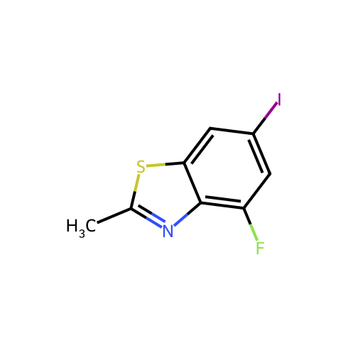 Cc1nc2c(F)cc(I)cc2s1